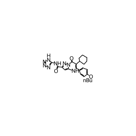 CCCCOc1ccc(-c2[nH]c3cc(C(=O)Nc4nnn[nH]4)nn3c(=O)c2C2CCCCC2)cc1